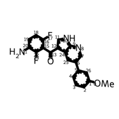 COc1cccc(-c2cnc3[nH]cc(C(=O)c4c(F)ccc(N)c4F)c3c2)c1